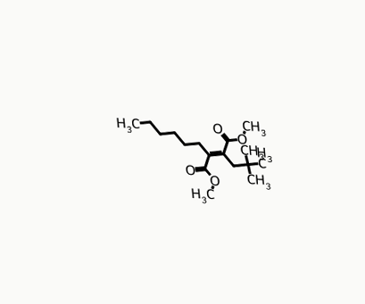 CCCCCCC(C(=O)OC)=C(CC(C)(C)C)C(=O)OC